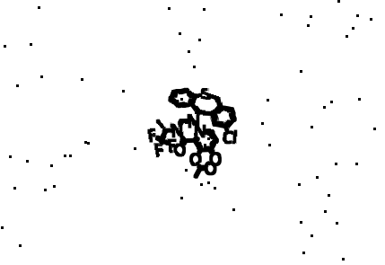 CC(=O)Oc1c2n(ccc1=O)N([C@H]1c3cc(Cl)ccc3CSc3ccccc31)CN([C@H](C)C(F)(F)F)C2=O